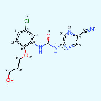 N#Cc1cnc(NC(=O)Nc2cc(Cl)ccc2OCCCO)cn1